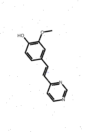 COc1cc(/C=C/c2ccncn2)ccc1O